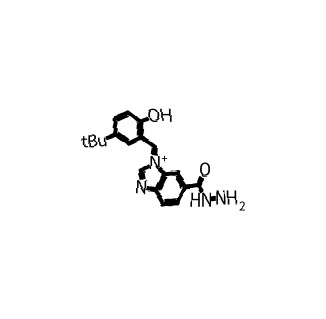 CC(C)(C)c1ccc(O)c(C=[N+]2C=Nc3ccc(C(=O)NN)cc32)c1